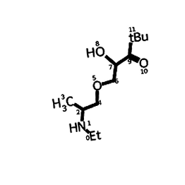 CCNC(C)COCC(O)C(=O)C(C)(C)C